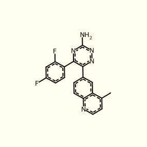 Cc1ccnc2ccc(-c3nnc(N)nc3-c3ccc(F)cc3F)cc12